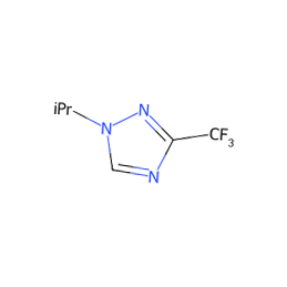 CC(C)n1cnc(C(F)(F)F)n1